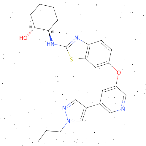 CCCn1cc(-c2cncc(Oc3ccc4nc(N[C@@H]5CCCC[C@H]5O)sc4c3)c2)cn1